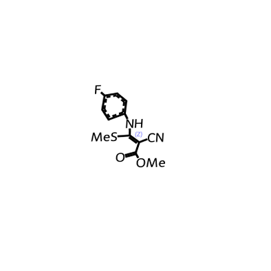 COC(=O)/C(C#N)=C(/Nc1ccc(F)cc1)SC